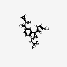 O=C(NC1CC1)c1ccc2c(c1)c(-c1ccc(Cl)s1)nn2CC(F)F